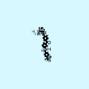 Nc1ncnc2nc(-c3ccc(C(=O)c4cccc(NC(=O)c5ccc(S(=O)(=O)F)cc5)c4)cc3)[nH]c12